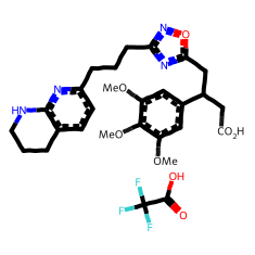 COc1cc(C(CC(=O)O)Cc2nc(CCCc3ccc4c(n3)NCCC4)no2)cc(OC)c1OC.O=C(O)C(F)(F)F